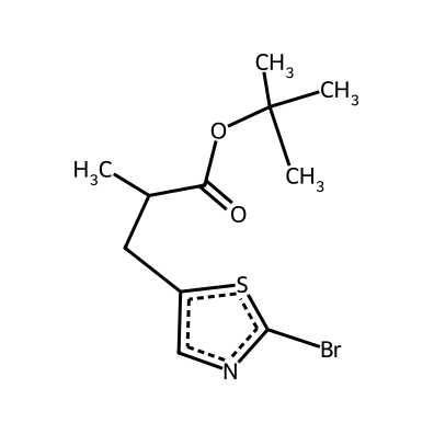 CC(Cc1cnc(Br)s1)C(=O)OC(C)(C)C